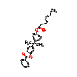 CC/C=C\C=C/CC(=O)Oc1ccc(C(C)(C)c2ccc(OC(=O)C3=CCCC=C3)cc2)cc1